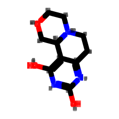 Oc1nc(O)c2c(n1)CCN1CCOCC21